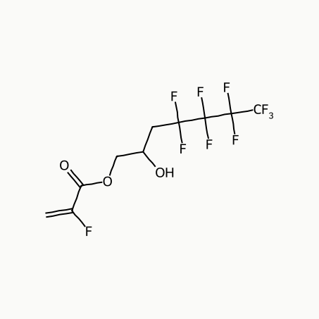 C=C(F)C(=O)OCC(O)CC(F)(F)C(F)(F)C(F)(F)C(F)(F)F